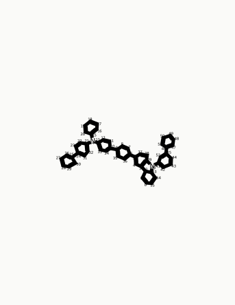 C1=CC2c3cc(-c4ccc(-c5ccc(N(c6ccccc6)c6ccc(-c7ccccc7)cc6)cc5)cc4)ccc3N(c3cccc(-c4ccccc4)c3)C2C=C1